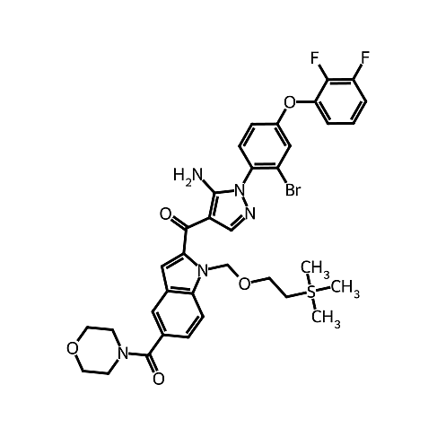 CS(C)(C)CCOCn1c(C(=O)c2cnn(-c3ccc(Oc4cccc(F)c4F)cc3Br)c2N)cc2cc(C(=O)N3CCOCC3)ccc21